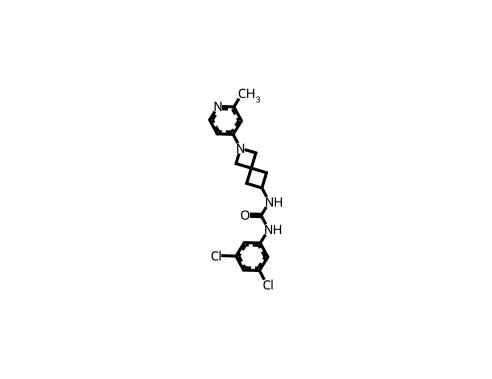 Cc1cc(N2CC3(CC(NC(=O)Nc4cc(Cl)cc(Cl)c4)C3)C2)ccn1